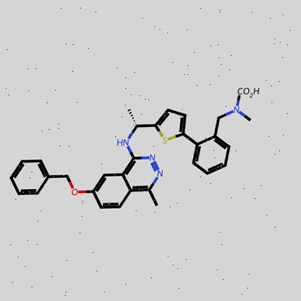 Cc1nnc(N[C@H](C)c2ccc(-c3ccccc3CN(C)C(=O)O)s2)c2cc(OCc3ccccc3)ccc12